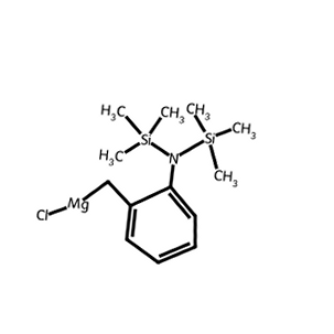 C[Si](C)(C)N(c1ccccc1[CH2][Mg][Cl])[Si](C)(C)C